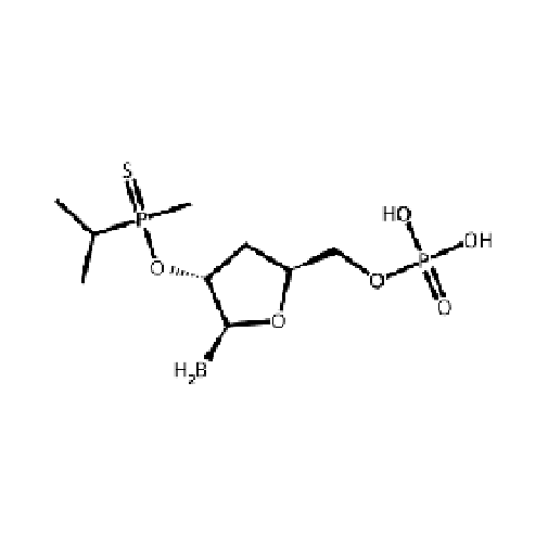 B[C@@H]1O[C@H](COP(=O)(O)O)C[C@H]1OP(C)(=S)C(C)C